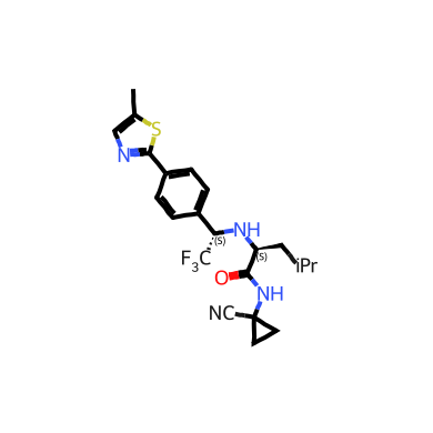 Cc1cnc(-c2ccc([C@H](N[C@@H](CC(C)C)C(=O)NC3(C#N)CC3)C(F)(F)F)cc2)s1